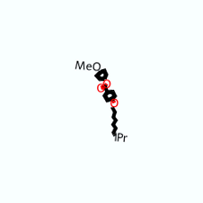 COc1ccc(OC(=O)c2ccc(OCCCCCCCC(C)C)cc2)cc1